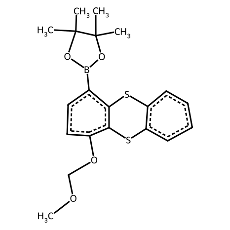 COCOc1ccc(B2OC(C)(C)C(C)(C)O2)c2c1Sc1ccccc1S2